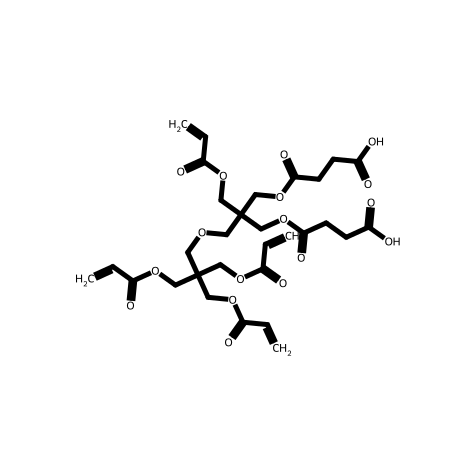 C=CC(=O)OCC(COCC(COC(=O)C=C)(COC(=O)CCC(=O)O)COC(=O)CCC(=O)O)(COC(=O)C=C)COC(=O)C=C